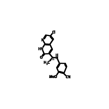 COc1cc(N[C@@H](C)c2cc3cc(Cl)cnc3[nH]c2=O)ccc1C#N